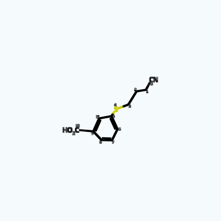 N#CCCCSc1cccc(C(=O)O)c1